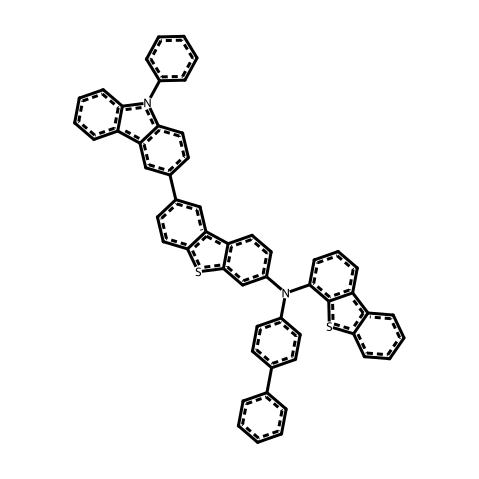 c1ccc(-c2ccc(N(c3ccc4c(c3)sc3ccc(-c5ccc6c(c5)c5ccccc5n6-c5ccccc5)cc34)c3cccc4c3sc3ccccc34)cc2)cc1